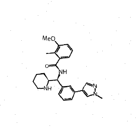 COc1cccc(C(=O)N[C@@H](c2cccc(-c3cnn(C)c3)c2)[C@@H]2CCCCN2)c1C